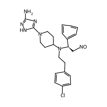 Nc1n[nH]c(N2CCC(N(CCc3ccc(Cl)cc3)[C@H](CN=O)c3ccccc3)CC2)n1